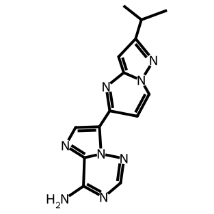 CC(C)c1cc2nc(-c3cnc4c(N)ncnn34)ccn2n1